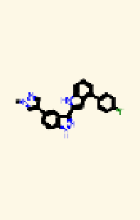 Cn1cc(-c2ccc3[nH]nc(-c4cc5c(-c6ccc(F)cc6)cccc5[nH]4)c3c2)cn1